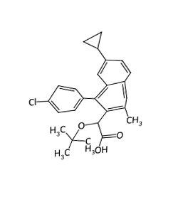 Cc1cc2ccc(C3CC3)cc2c(-c2ccc(Cl)cc2)c1C(OC(C)(C)C)C(=O)O